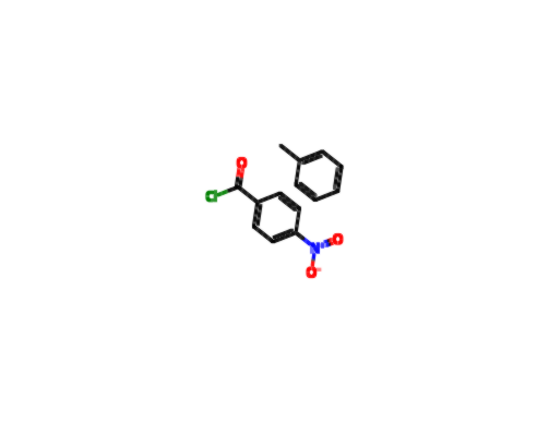 Cc1ccccc1.O=C(Cl)c1ccc([N+](=O)[O-])cc1